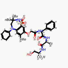 CCCCC1(CCCC)CN(c2ccccc2)c2cc(SC)c(OCC(=O)N[C@@H](C(=O)N[C@@H](CC)C(=O)N[C@@H](CO)C(=O)O)c3ccccc3)cc2S(=O)(=O)N1